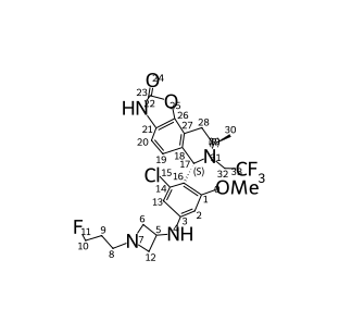 COc1cc(NC2CN(CCCF)C2)cc(Cl)c1[C@@H]1c2ccc3[nH]c(=O)oc3c2C[C@@H](C)N1CC(F)(F)F